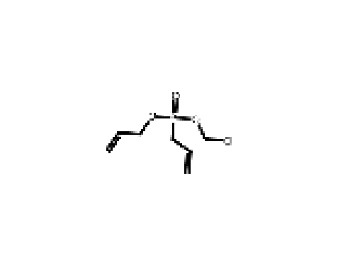 C=CCOP(=O)(CC=C)OCCl